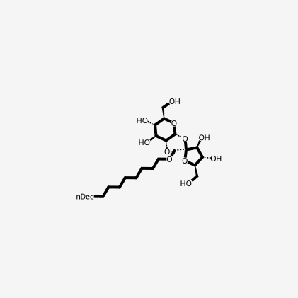 CCCCCCCCCCCCCCCCCCOC[C@@]1(O[C@H]2O[C@H](CO)[C@@H](O)[C@H](O)[C@H]2O)O[C@H](CO)[C@@H](O)[C@@H]1O